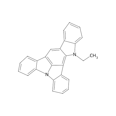 CCn1c2ccccc2c2cc3c4ccccc4n4c5ccccc5c(c21)c34